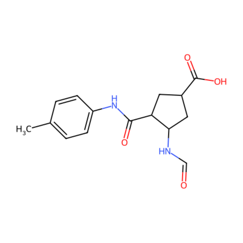 Cc1ccc(NC(=O)C2CC(C(=O)O)CC2NC=O)cc1